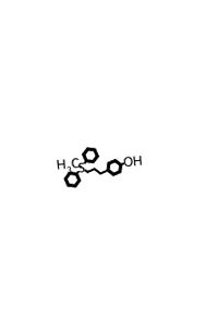 CS(CCCc1ccc(O)cc1)(c1ccccc1)c1ccccc1